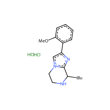 CCC(C)C1NCCn2cc(-c3ccccc3OC)nc21.Cl.Cl